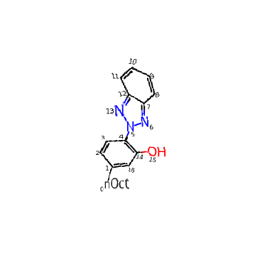 CCCCCCCCc1ccc(-n2nc3ccccc3n2)c(O)c1